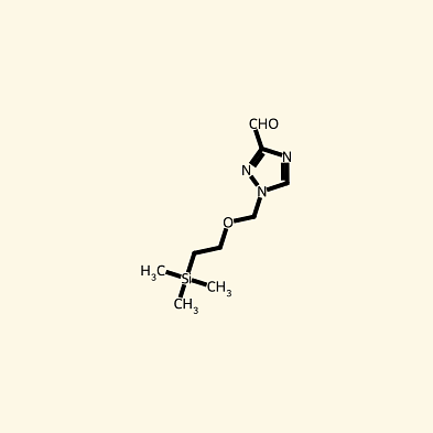 C[Si](C)(C)CCOCn1cnc(C=O)n1